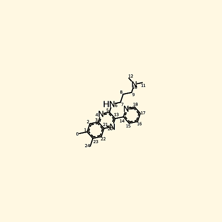 Cc1cc2nc(NCCCN(C)C)c(-c3ccccn3)nc2cc1C